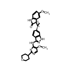 COc1ccc2c(c1)[C@]1(C[C@H]1c1ccc3c(Nc4nc(C5CCOCC5)ncc4OC)n[nH]c3c1)C(=O)N2